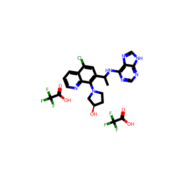 CC(Nc1ncnc2[nH]cnc12)c1cc(Cl)c2cccnc2c1N1CC[C@@H](O)C1.O=C(O)C(F)(F)F.O=C(O)C(F)(F)F